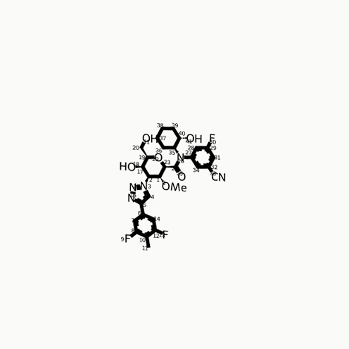 CO[C@@H]1[C@@H](n2cc(-c3cc(F)c(C)c(F)c3)nn2)[C@@H](O)[C@@H](CO)O[C@H]1C(=O)N(c1cc(F)cc(C#N)c1)[C@H]1CCCC[C@@H]1O